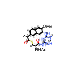 COc1ccc2cc([C@H](C)C(=O)SC[C@H](NC(C)=O)C(=O)NC(=N)NC(=N)N(C)C)ccc2c1